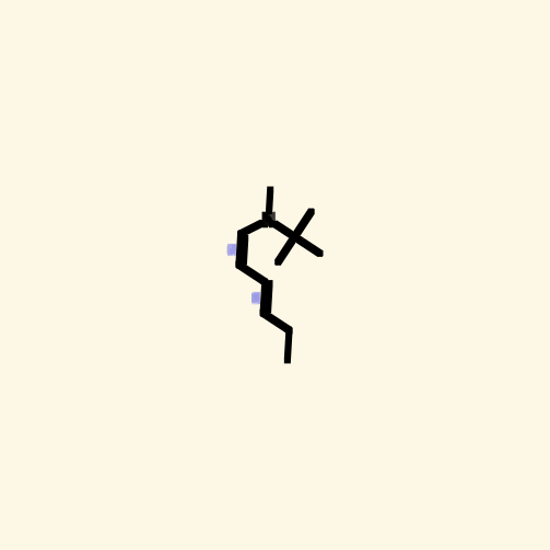 CC/C=C/C=C\N(C)C(C)(C)C